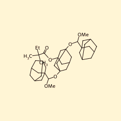 CCC(C)(C)C(=O)OC12CC3CC(OC(OC)C45CC6CC(CC(C6)C4)C5)(C1)CC(OC(OC)C14CC5CC(CC(C5)C1)C4)(C3)C2